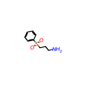 NCCCS(=O)(=O)c1ccccc1